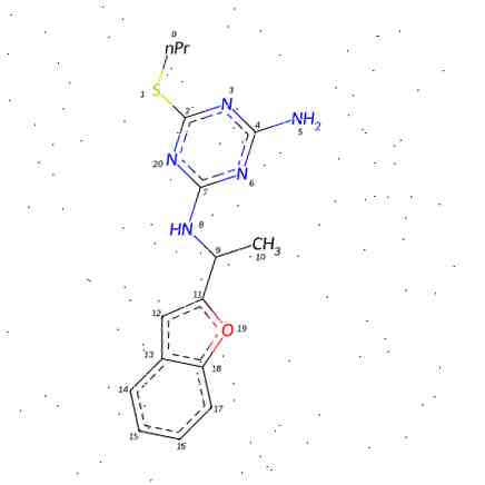 CCCSc1nc(N)nc(NC(C)c2cc3ccccc3o2)n1